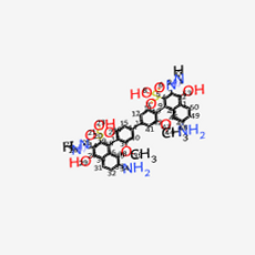 [H]/N=N/c1c(S(=O)(=O)O)c(-c2ccc(-c3ccc(-c4c(S(=O)(=O)O)c(/N=N/[H])c(O)c5ccc(N)cc45)c(OC)c3)cc2OC)c2cc(N)ccc2c1O